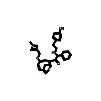 C[N+]1=CC(COC2=C/CCC/C=C(CCCC(=O)C(NCCc3ccc(C#N)cc3)c3ccccc3)/C=C\2)=C1